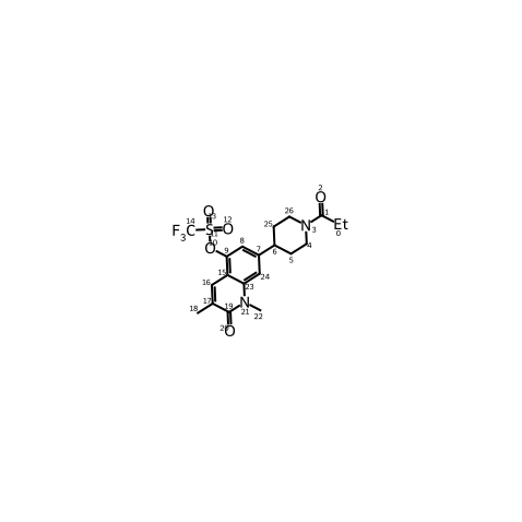 CCC(=O)N1CCC(c2cc(OS(=O)(=O)C(F)(F)F)c3cc(C)c(=O)n(C)c3c2)CC1